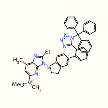 CCc1nc2c(C)cc([C@H](C)OC)nc2n1[C@H]1CCc2cc(-c3ccccc3-c3nnnn3C(c3ccccc3)(c3ccccc3)c3ccccc3)ccc21